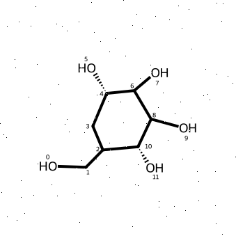 OCC1C[C@H](O)C(O)C(O)[C@@H]1O